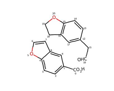 O=C(O)c1ccc2occc2c1.O=CCc1ccc2c(c1)CCO2